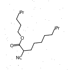 CC(C)CCCCCC(C#N)C(=O)OCCCC(C)C